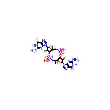 Nc1nc2c(ncn2[C@@H]2O[C@@H]3CNP(=O)(O)OC4C(F)[C@H](n5cnc6c(=O)[nH]c(N)nc65)O[C@@H]4CNP(=O)(O)OC3C2F)c(=O)[nH]1